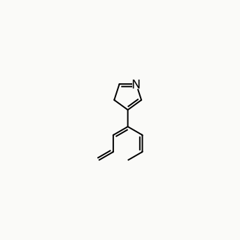 C=C/C=C(\C=C/C)C1=CN=CC1